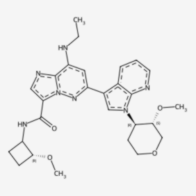 CCNc1cc(-c2cn([C@@H]3CCOC[C@H]3OC)c3ncccc23)nn2c(C(=O)NC3CC[C@H]3OC)cnc12